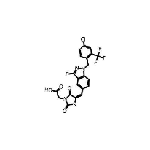 O=C(O)CN1C(=O)SC(=Cc2ccc3c(c2)c(F)nn3Cc2ccc(Cl)cc2C(F)(F)F)C1=O